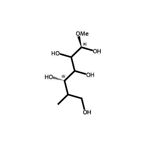 CO[C@@H](O)C(O)C(O)[C@@H](O)C(C)CO